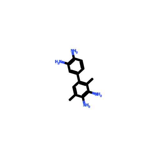 Cc1cc(-c2ccc(N)c(N)c2)c(C)c(N)c1N